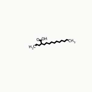 C=CCC(CCCCCCCCCCC)C(=O)O